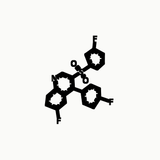 O=S(=O)(c1cccc(F)c1)c1cnc2ccc(F)cc2c1-c1ccc(F)cc1